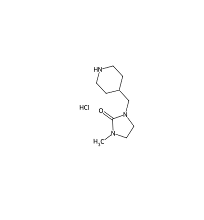 CN1CCN(CC2CCNCC2)C1=O.Cl